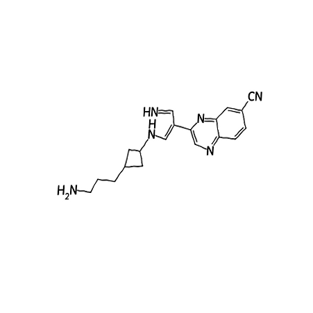 N#Cc1ccc2ncc(/C(C=N)=C/NC3CC(CCCN)C3)nc2c1